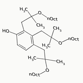 CCCCCCCCOC(C)(C)Cc1ccc(O)c(CC(C)(C)OCCCCCCCC)c1CC(C)(C)OCCCCCCCC